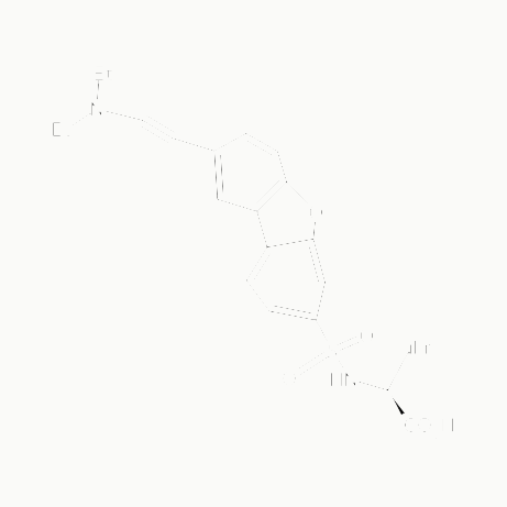 CCN(C#Cc1ccc2oc3cc(S(=O)(=O)N[C@H](C(=O)O)C(C)C)ccc3c2c1)CC